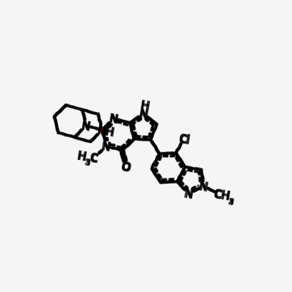 Cn1cc2c(Cl)c(-c3c[nH]c4nc(N5C6CCCC5CNC6)n(C)c(=O)c34)ccc2n1